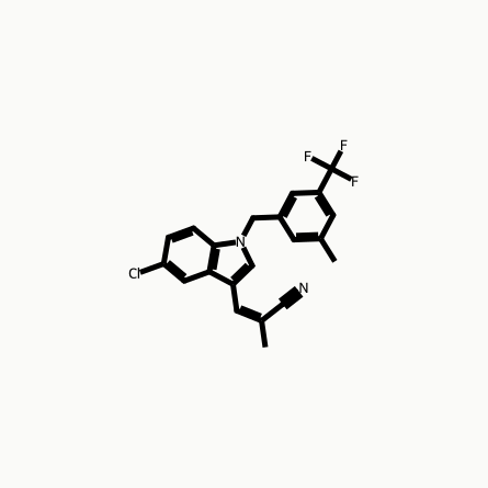 C/C(C#N)=C/c1cn(Cc2cc(C)cc(C(F)(F)F)c2)c2ccc(Cl)cc12